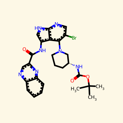 CC(C)(C)OC(=O)N[C@@H]1CCCN(c2c(Br)cnc3[nH]cc(NC(=O)c4cnc5ccccc5n4)c23)C1